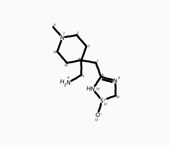 CN1CCC(CN)(CC2=NC[S+]([O-])N2)CC1